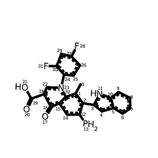 Cc1c(-c2cc3ccccc3[nH]2)c(P)cc2c(=O)c(C(=O)O)cn(-c3ccc(F)cc3F)c12